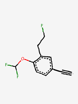 [C]#Cc1ccc(OC(F)F)c(CCF)c1